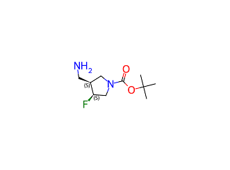 CC(C)(C)OC(=O)N1C[C@H](CN)[C@H](F)C1